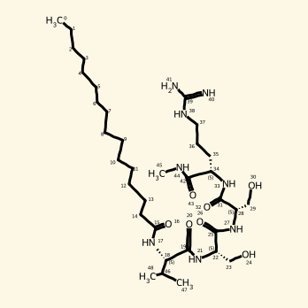 CCCCCCCCCCCCCCCC(=O)N[C@H](C(=O)N[C@@H](CO)C(=O)N[C@@H](CO)C(=O)N[C@@H](CCCNC(=N)N)C(=O)NC)C(C)C